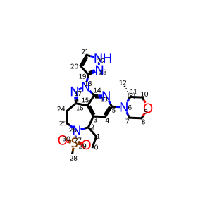 CCC1c2cc(N3CCOC[C@H]3C)nc3c2c(nn3-c2cc[nH]n2)CCN1S(C)(=O)=O